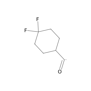 O=[C]C1CCC(F)(F)CC1